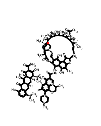 CC1COc2c(N3CCN(C)CC3)c(F)cc3c(=O)c(C(=O)O)cn1c23.CN(C)c1ccc(O)c2c1C[C@H]1C[C@H]3[C@H](N(C)C)C(O)=C(C(N)=O)C(=O)[C@@]3(O)C(O)=C1C2=O.CO[C@H]1/C=C/O[C@@]2(C)Oc3c(C)c(O)c4c(O)c(c(/C=N/N5CCN(C)CC5)c(O)c4c3C2=O)NC(=O)/C(C)=C\C=C\[C@H](C)[C@H](O)[C@@H](C)[C@@H](O)[C@@H](C)[C@H](OC(C)=O)[C@@H]1C